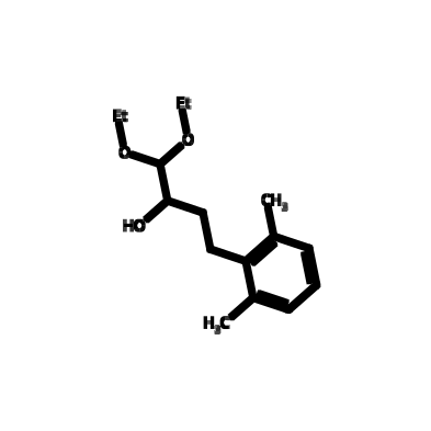 CCOC(OCC)C(O)CCc1c(C)cccc1C